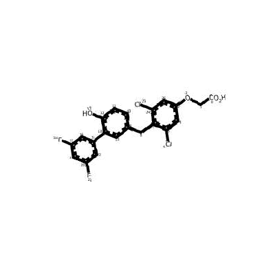 O=C(O)COc1cc(Cl)c(Cc2ccc(O)c(-c3cc(F)cc(F)c3)c2)c(Cl)c1